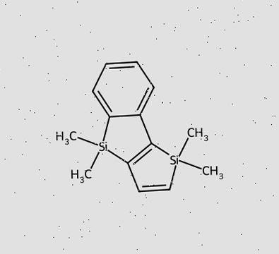 C[Si]1(C)C=CC2=C1c1ccccc1[Si]2(C)C